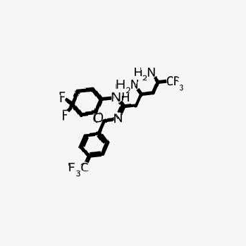 NC(C/C(=N/C(=O)c1ccc(C(F)(F)F)cc1)NC1CCC(F)(F)CC1)CC(N)C(F)(F)F